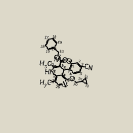 COc1cc(C#N)ccc1C1C(C(=O)OCc2ccccc2)=C(C)Nc2c(C)cnc(OCC3CC3)c21